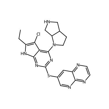 CCc1[nH]c2nc(Sc3cnc4nccnc4c3)nc(N3CCC4CNCC43)c2c1Cl